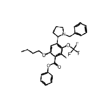 CCCCOc1cc(C2CCCN2Cc2ccccc2)c(OC(F)(F)F)c(C)c1C(=O)Oc1ccccc1